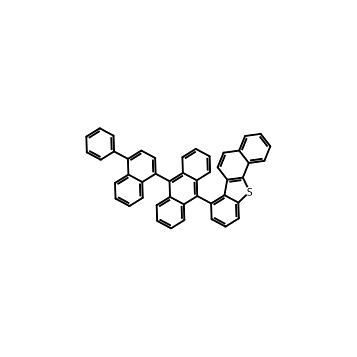 c1ccc(-c2ccc(-c3c4ccccc4c(-c4cccc5sc6c7ccccc7ccc6c45)c4ccccc34)c3ccccc23)cc1